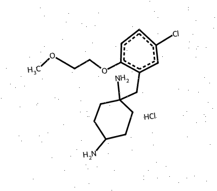 COCCOc1ccc(Cl)cc1CC1(N)CCC(N)CC1.Cl